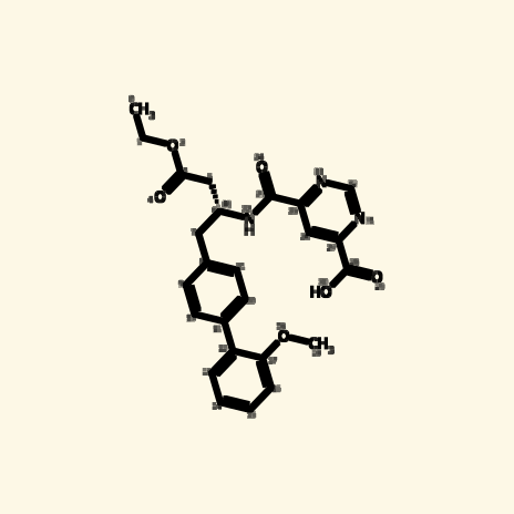 CCOC(=O)C[C@@H](Cc1ccc(-c2ccccc2OC)cc1)NC(=O)c1cc(C(=O)O)ncn1